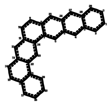 c1ccc2cc3cc4c(ccc5cc6ccc7ccccc7c6cc54)cc3cc2c1